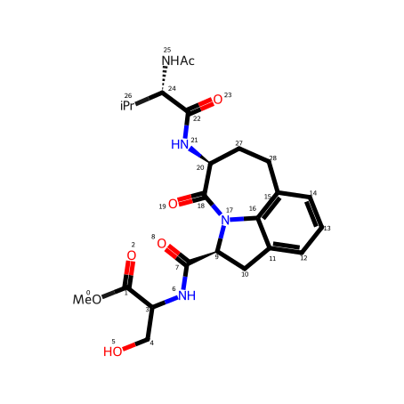 COC(=O)C(CO)NC(=O)[C@@H]1Cc2cccc3c2N1C(=O)[C@@H](NC(=O)[C@@H](NC(C)=O)C(C)C)CC3